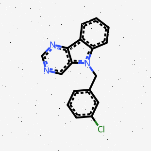 Clc1cccc(Cn2c3ccccc3c3ncncc32)c1